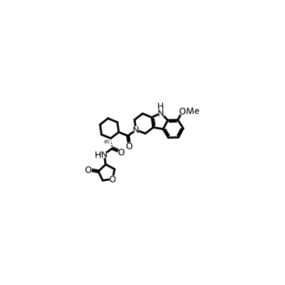 COc1cccc2c3c([nH]c12)CCN(C(=O)C1CCCC[C@H]1C(=O)NC1COCC1=O)C3